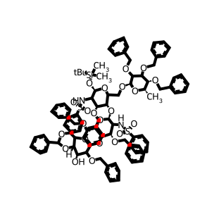 C[C@@H]1O[C@@H](OCC2O[C@H](O[Si](C)(C)C(C)(C)C)C(NS(=O)(=O)c3ccccc3)[C@H](OCc3ccccc3)[C@@H]2O[C@@H]2OC(COCc3ccccc3)[C@@H](O[C@@H]3OC4COC(c5ccccc5)O[C@H]4[C@H](O)C3OCc3ccccc3)[C@@H](OCc3ccccc3)C2NS(=O)(=O)c2ccccc2)C(OCc2ccccc2)C(OCc2ccccc2)[C@@H]1OCc1ccccc1